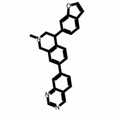 CN1Cc2cc(-c3ccc4cncnc4c3)ccc2C(c2ccc3ccoc3c2)C1